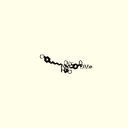 COC(=O)c1ccc(C[S+]([O-])C(C(=O)NCCCCCCc2ccc(Cl)cc2)N2CCC2=O)cc1